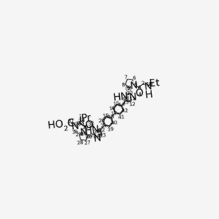 CCNCC(=O)N1CCC[C@H]1c1ncc(-c2ccc(-c3ccc(-c4cnc([C@@H]5CCCN5C(=O)[C@H](C(C)C)N(C)C(=O)O)[nH]4)cc3)cc2)[nH]1